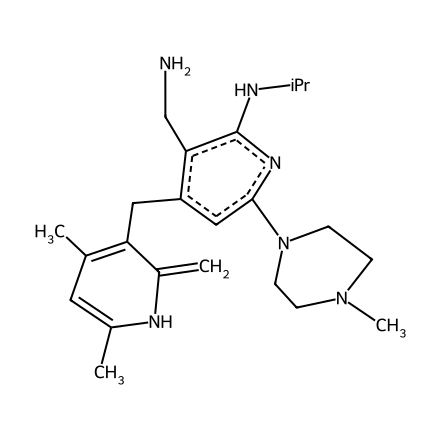 C=C1NC(C)=CC(C)=C1Cc1cc(N2CCN(C)CC2)nc(NC(C)C)c1CN